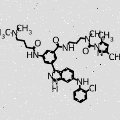 Cc1cc(C)n(C(=O)N(C)CCCNC(=O)c2cc(NC(=O)CCCN(C)C)cc(-c3n[nH]c4cc(Nc5ccccc5Cl)ccc34)c2)n1